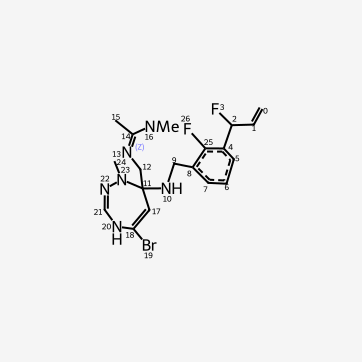 C=CC(F)c1cccc(CNC2(C/N=C(/C)NC)C=C(Br)NC=NN2C)c1F